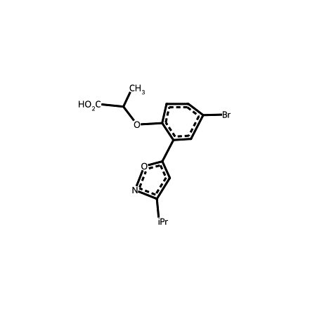 CC(Oc1ccc(Br)cc1-c1cc(C(C)C)no1)C(=O)O